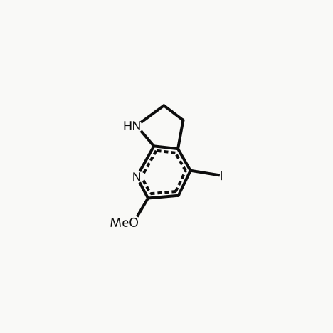 COc1cc(I)c2c(n1)NCC2